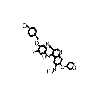 N#Cc1cnc2cc(OC3CCOC3)c(N)cc2c1Nc1ccc(OCc2ccc(Cl)cc2)c(F)c1